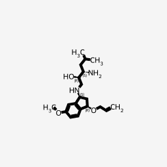 C=CCO[C@@H]1C[C@H](NC[C@@H](O)[C@@H](N)CC(C)C)c2cc(OC)ccc21